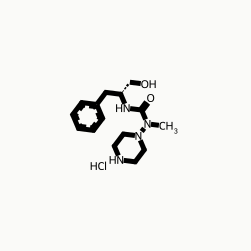 CN(C(=O)N[C@@H](CO)Cc1ccccc1)N1CCNCC1.Cl